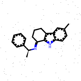 Cc1ccc2[nH]c3c(c2c1)CCC/C3=N\[C@@H](C)c1ccccc1